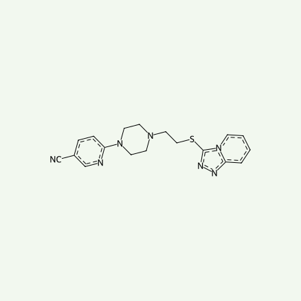 N#Cc1ccc(N2CCN(CCSc3nnc4ccccn34)CC2)nc1